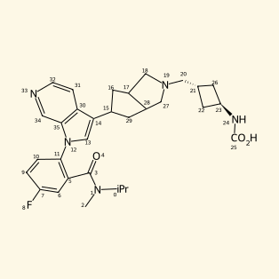 CC(C)N(C)C(=O)c1cc(F)ccc1-n1cc(C2CC3CN(C[C@H]4C[C@H](NC(=O)O)C4)CC3C2)c2ccncc21